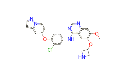 COc1cc2ncnc(Nc3ccc(Oc4ccn5nccc5c4)c(Cl)c3)c2cc1OC1CNC1